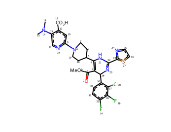 COC(=O)C1=C(C2CCN(c3cc(C(=O)O)c(N(C)C)cn3)CC2)NC(c2nccs2)=NC1c1ccc(F)c(F)c1Cl